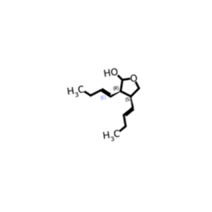 CCC=C[C@@H]1COC(O)[C@@H]1/C=C/CC